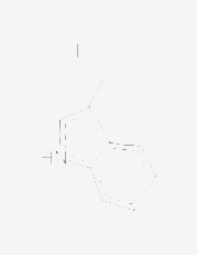 F[CH]c1c[nH]c2ccccc12